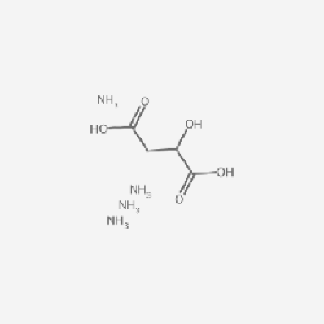 N.N.N.N.O=C(O)CC(O)C(=O)O